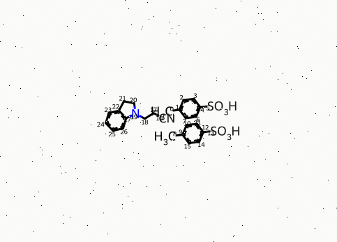 Cc1ccc(S(=O)(=O)O)cc1.Cc1ccc(S(=O)(=O)O)cc1.N#CCCN1CCc2ccccc21